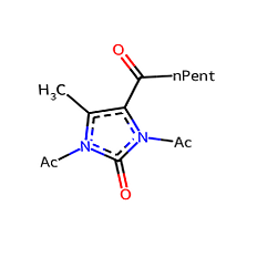 CCCCCC(=O)c1c(C)n(C(C)=O)c(=O)n1C(C)=O